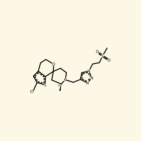 C[C@H]1CC2(CCN1Cc1cn(CCS(C)(=O)=O)nn1)OCCc1cc(Cl)sc12